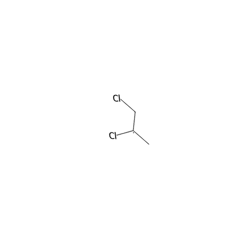 C[C](Cl)CCl